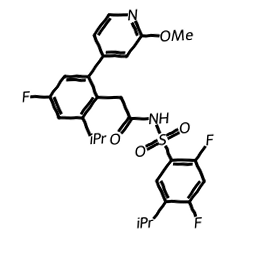 COc1cc(-c2cc(F)cc(C(C)C)c2CC(=O)NS(=O)(=O)c2cc(C(C)C)c(F)cc2F)ccn1